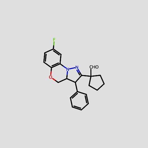 O=CC1(C2=NN3c4cc(F)ccc4OCC3C2c2ccccc2)CCCC1